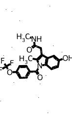 CNC(=O)Cc1c(C)n(C(=O)c2ccc(OC(F)(F)F)cc2)c2ccc(O)cc12